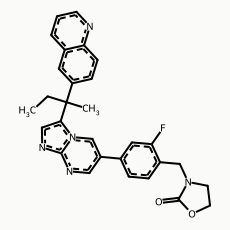 CCC(C)(c1ccc2ncccc2c1)c1cnc2ncc(-c3ccc(CN4CCOC4=O)c(F)c3)cn12